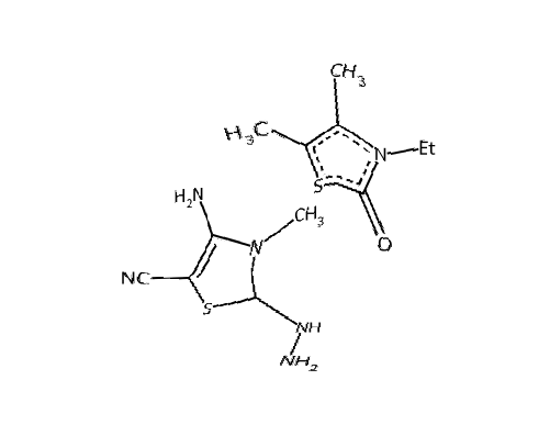 CCn1c(C)c(C)sc1=O.CN1C(N)=C(C#N)SC1NN